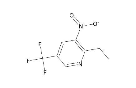 CCc1ncc(C(F)(F)F)cc1[N+](=O)[O-]